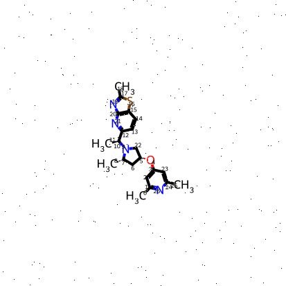 Cc1cc(O[C@@H]2C[C@H](C)N([C@@H](C)c3ccc4sc(C)nc4n3)C2)cc(C)n1